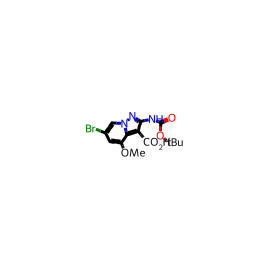 COc1cc(Br)cn2nc(NC(=O)OC(C)(C)C)c(C(=O)O)c12